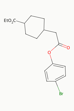 CCOC(=O)C1CCC(CC(=O)Oc2ccc(Br)cc2)CC1